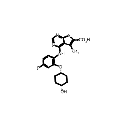 Cc1c(C(=O)O)sc2ncnc(Nc3ccc(F)cc3O[C@H]3CC[C@@H](O)CC3)c12